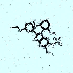 CCOc1cccc(-c2nc3nc(N)c(NS(C)(=O)=O)nc3n2-c2c(OC)cccc2OC)n1